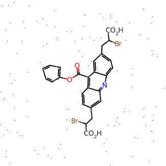 O=C(Oc1ccccc1)c1c2ccc(CC(Br)C(=O)O)cc2nc2ccc(CC(Br)C(=O)O)cc12